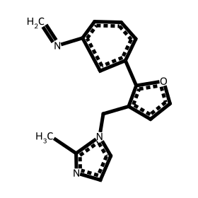 C=Nc1cccc(-c2occc2Cn2ccnc2C)c1